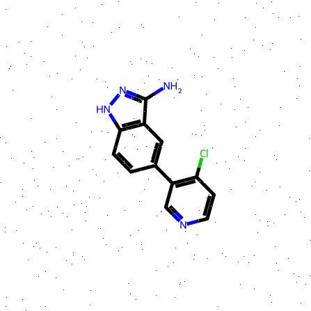 Nc1n[nH]c2ccc(-c3cnccc3Cl)cc12